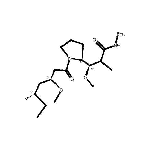 BNC(=O)C(C)[C@@H](OC)[C@@H]1CCCN1C(=O)C[C@H](C[C@@H](C)CC)OC